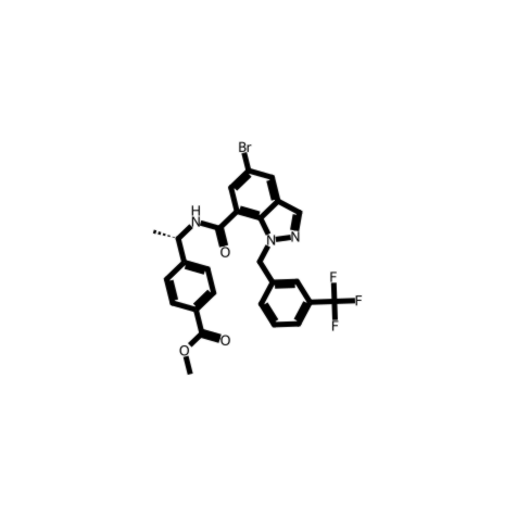 COC(=O)c1ccc([C@H](C)NC(=O)c2cc(Br)cc3cnn(Cc4cccc(C(F)(F)F)c4)c23)cc1